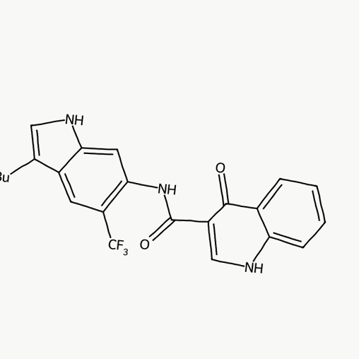 CC(C)(C)c1c[nH]c2cc(NC(=O)c3c[nH]c4ccccc4c3=O)c(C(F)(F)F)cc12